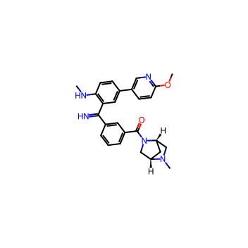 CNc1ccc(-c2ccc(OC)nc2)cc1C(=N)c1cccc(C(=O)N2C[C@@H]3C[C@H]2CN3C)c1